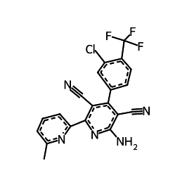 Cc1cccc(-c2nc(N)c(C#N)c(-c3ccc(C(F)(F)F)c(Cl)c3)c2C#N)n1